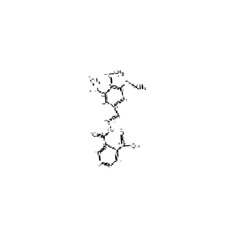 COc1cc(/C=N/NC(=O)c2ccccc2[N+](=O)[O-])cc(OC)c1OC